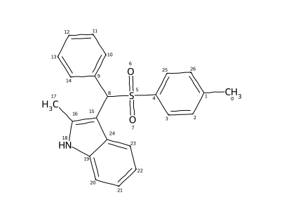 Cc1ccc(S(=O)(=O)C(c2ccccc2)c2c(C)[nH]c3ccccc23)cc1